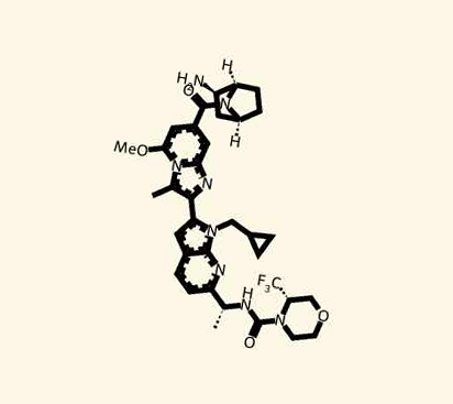 COc1cc(C(=O)N2[C@H]3CC[C@@H]2[C@H](N)C3)cc2nc(-c3cc4ccc([C@@H](C)NC(=O)N5CCOC[C@H]5C(F)(F)F)nc4n3CC3CC3)c(C)n12